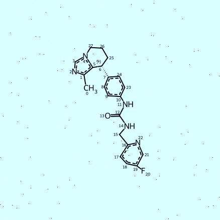 Cc1ncn2c1[C@@H](c1ccc(NC(=O)NCc3ccc(F)cn3)cc1)CCC2